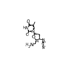 Cc1cn([C@H]2CC(N=[N+]=[N-])[C@@H](CN)O2)c(=O)[nH]c1=O